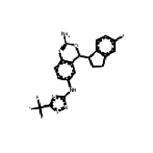 NC1=Nc2ccc(Nc3nnc(C(F)(F)F)o3)cc2C(C2CCc3cc(F)ccc32)O1